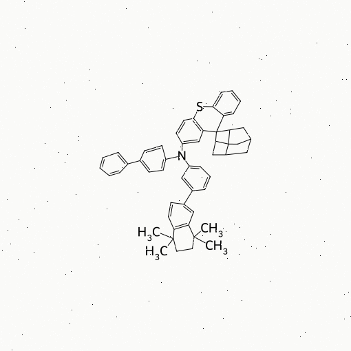 CC1(C)CCC(C)(C)c2cc(-c3cccc(N(c4ccc(-c5ccccc5)cc4)c4ccc5c(c4)C4(c6ccccc6S5)C5CC6CC7CC4C75C6)c3)ccc21